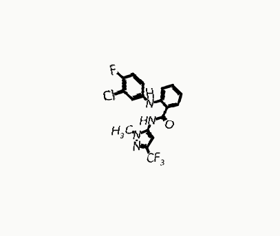 Cn1nc(C(F)(F)F)cc1NC(=O)c1ccccc1Nc1ccc(F)c(Cl)c1